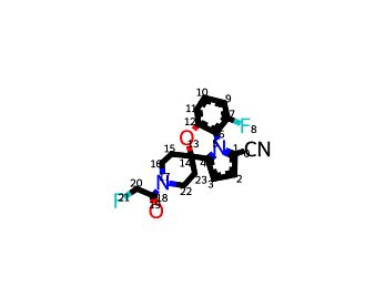 N#Cc1ccc2n1-c1c(F)cccc1OC21CCN(C(=O)CF)CC1